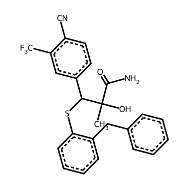 CC(O)(C(N)=O)C(Sc1ccccc1Cc1ccccc1)c1ccc(C#N)c(C(F)(F)F)c1